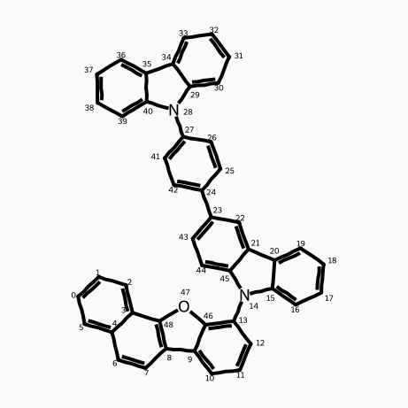 c1ccc2c(c1)ccc1c3cccc(-n4c5ccccc5c5cc(-c6ccc(-n7c8ccccc8c8ccccc87)cc6)ccc54)c3oc21